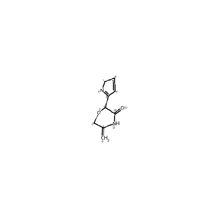 C=C1COC(C2=NCC=C2)C(=O)N1